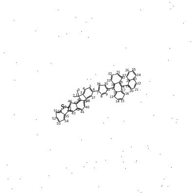 CC1(C)c2ccc(-c3ccc(-c4c5ccccc5c(C5=CC=CC6C=CC=CC56)c5ccccc45)cc3)cc2-c2ccc3cc4c(cc3c21)sc1ccccc14